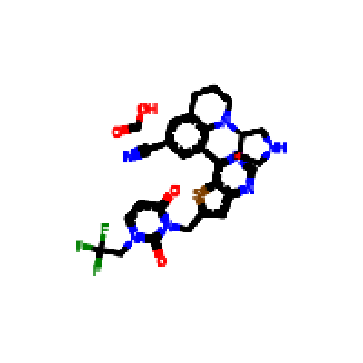 N#Cc1cc2c(c(-c3ncnc4cc(Cn5c(=O)ccn(CC(F)(F)F)c5=O)sc34)c1)N([C@@H]1CCNC1)CCC2.O=CO